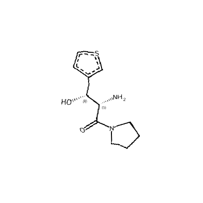 N[C@H](C(=O)N1CCCC1)[C@H](O)c1ccsc1